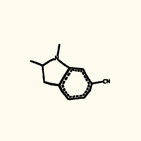 CC1Cc2ccc(C#N)cc2N1C